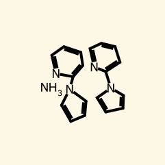 N.c1ccc(-n2cccc2)nc1.c1ccc(-n2cccc2)nc1